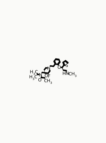 CNCC[C@@H](Oc1ccccc1CCN1CC[C@]2(CN(C(C)C)C(=O)[C@@H](C)O2)[C@@H](F)C1)c1cccs1